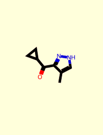 Cc1c[nH]nc1C(=O)C1CC1